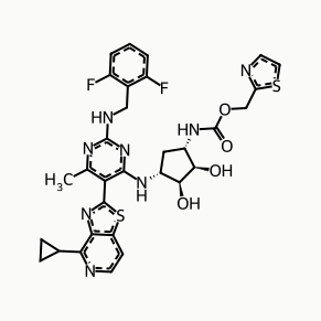 Cc1nc(NCc2c(F)cccc2F)nc(N[C@@H]2C[C@H](NC(=O)OCc3nccs3)[C@@H](O)[C@H]2O)c1-c1nc2c(C3CC3)nccc2s1